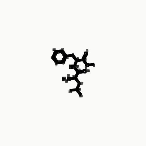 COC(=O)C(Cc1ccccc1)NC(=O)C(N)CC(C)C